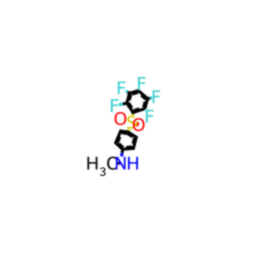 CNc1ccc(S(=O)(=O)c2c(F)c(F)c(F)c(F)c2F)cc1